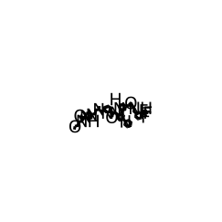 COCCNC(=O)N1CCN(CCN(C)Cc2cccc(C(=O)Nc3ccc(N4CCCCC4)cc3-c3cc(C4OC4NCc4cccc(C(F)(F)F)c4)ccn3)n2)CC1